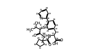 CC(C)C(S)C(=O)NC1(C(=O)NC(Cc2ccc(-c3ccccn3)cc2)C(=O)O)CCCC1